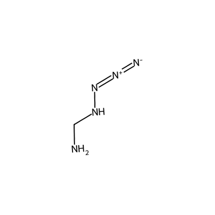 [N-]=[N+]=NNCN